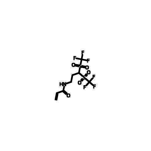 C=CC(=O)NCCC(S(=O)(=O)C(F)(F)F)S(=O)(=O)C(F)(F)F